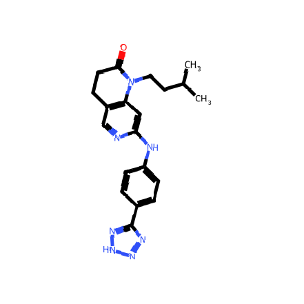 CC(C)CCN1C(=O)CCc2cnc(Nc3ccc(-c4nn[nH]n4)cc3)cc21